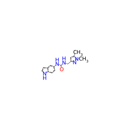 Cc1cc(CNC(=O)Nc2ccc3[nH]ccc3c2)nn1C